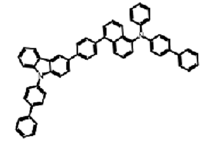 c1ccc(-c2ccc(N(c3ccccc3)c3cccc4c(-c5ccc(-c6ccc7c(c6)c6ccccc6n7-c6ccc(-c7ccccc7)cc6)cc5)cccc34)cc2)cc1